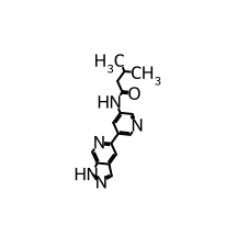 CC(C)CC(=O)Nc1cncc(-c2cc3cn[nH]c3cn2)c1